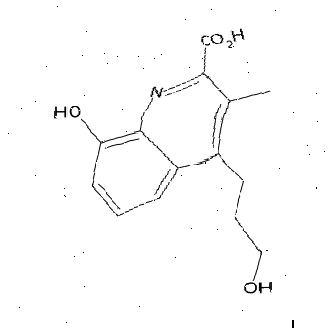 Cc1c(C(=O)O)nc2c(O)cccc2c1CCCO